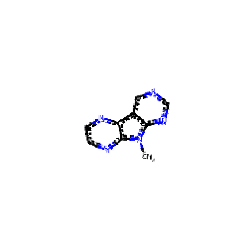 Cn1c2ncncc2c2nccnc21